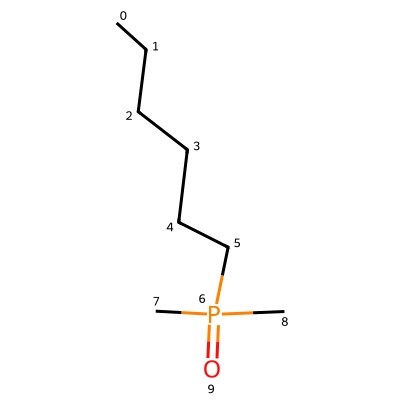 CCCCCCP(C)(C)=O